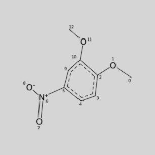 COc1c[c]c([N+](=O)[O-])cc1OC